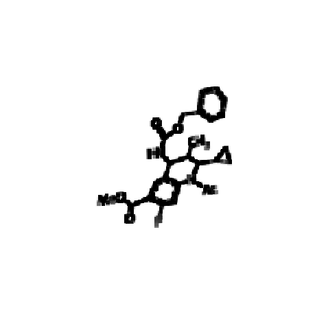 COC(=O)c1cc2c(cc1F)N(C(C)=O)C(C1CC1)C(C)C2NC(=O)OCc1ccccc1